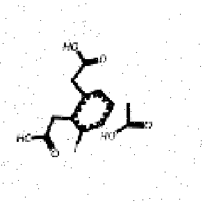 CC(=O)O.O=C(O)Cc1cccc(I)c1CC(=O)O